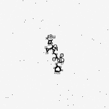 CC(C)(C)C[C@H]1C[C@@H](c2onc(CCC(=O)N3C(=O)OC[C@@H]3Cc3ccccc3)c2C2CC2)C1